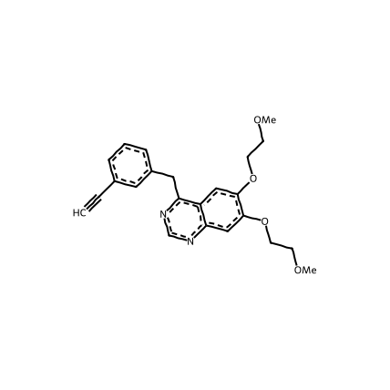 C#Cc1cccc(Cc2ncnc3cc(OCCOC)c(OCCOC)cc23)c1